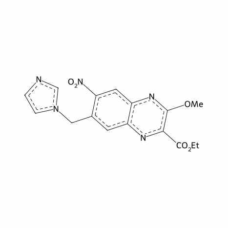 CCOC(=O)c1nc2cc(Cn3ccnc3)c([N+](=O)[O-])cc2nc1OC